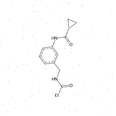 CCC(=O)NCc1cccc(NC(=O)C2CC2)c1